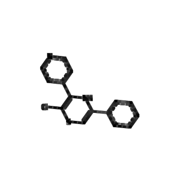 ClC1=C(c2ccncc2)NC(c2ccccc2)=CS1